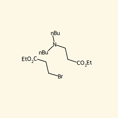 CCCCN(CCCC)CCC(=O)OCC.CCOC(=O)CCBr